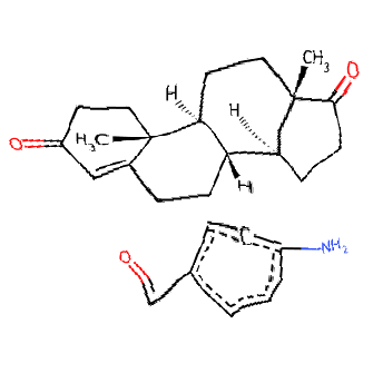 C[C@]12CCC(=O)C=C1CC[C@@H]1[C@@H]2CC[C@]2(C)C(=O)CC[C@@H]12.Nc1ccc(C=O)cc1